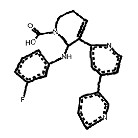 O=C(O)N1CCC=C(c2cc(-c3cccnc3)ccn2)C1Nc1cccc(F)c1